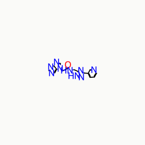 O=C(Cn1cnc2ncncc21)NCc1nc(-c2cccnc2)n[nH]1